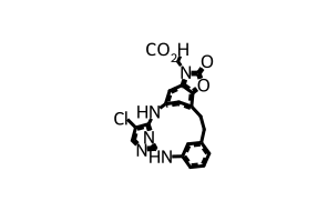 O=C(O)Cn1c(=O)oc2c3cc(cc21)Nc1nc(ncc1Cl)Nc1cccc(c1)CC3